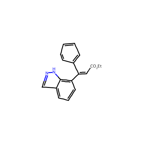 CCOC(=O)C=C(c1ccccc1)c1cccc2cn[nH]c12